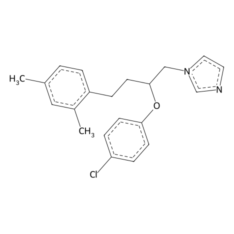 Cc1ccc(CCC(Cn2ccnc2)Oc2ccc(Cl)cc2)c(C)c1